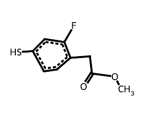 COC(=O)Cc1ccc(S)cc1F